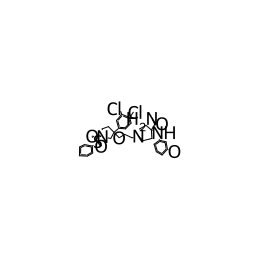 COc1cccc(NC2(C(N)=O)CCN(CCOC3(c4ccc(Cl)c(Cl)c4)CCN(S(=O)(=O)c4ccccc4)C3)CC2)c1